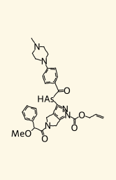 C=CCOC(=O)n1nc([AsH]C(=O)c2ccc(N3CCN(C)CC3)cc2)c2c1CN(C(=O)C(OC)c1ccccc1)C2